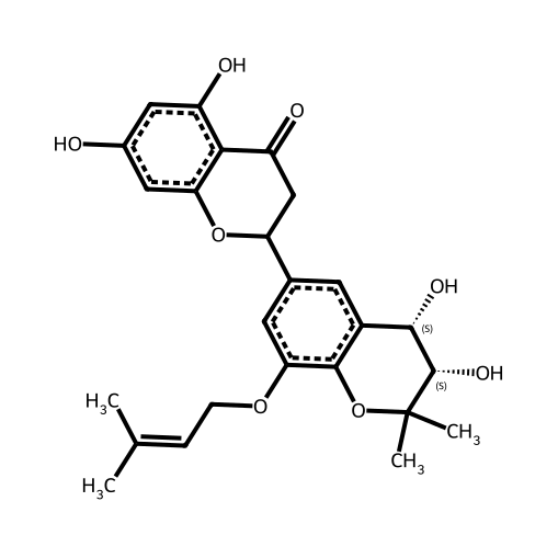 CC(C)=CCOc1cc(C2CC(=O)c3c(O)cc(O)cc3O2)cc2c1OC(C)(C)[C@@H](O)[C@H]2O